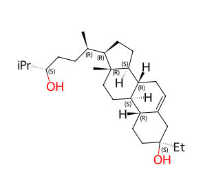 CC[C@]1(O)CC[C@H]2C(=CC[C@@H]3[C@@H]2CC[C@]2(C)[C@@H]([C@H](C)CC[C@H](O)C(C)C)CC[C@@H]32)C1